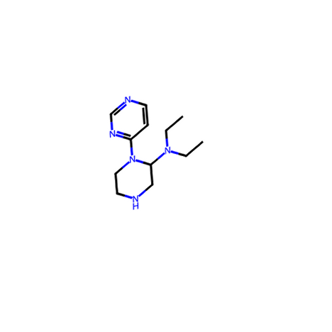 CCN(CC)C1CNCCN1c1ccncn1